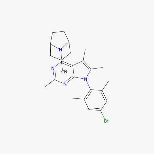 Cc1nc(N2C3CCC2CC(C#N)C3)c2c(C)c(C)n(-c3c(C)cc(Br)cc3C)c2n1